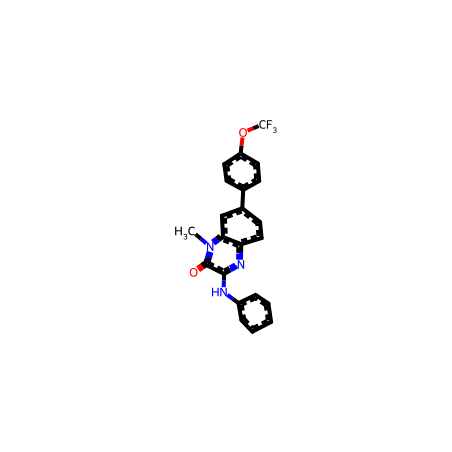 Cn1c(=O)c(Nc2ccccc2)nc2ccc(-c3ccc(OC(F)(F)F)cc3)cc21